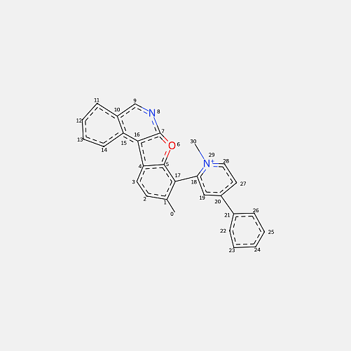 Cc1ccc2c(oc3ncc4ccccc4c32)c1-c1cc(-c2ccccc2)cc[n+]1C